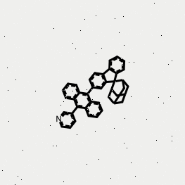 c1cncc(-c2c3ccccc3c(-c3ccc4c(c3)C3(c5ccccc5-4)C4CC5CC(C4)CC3C5)c3ccccc23)c1